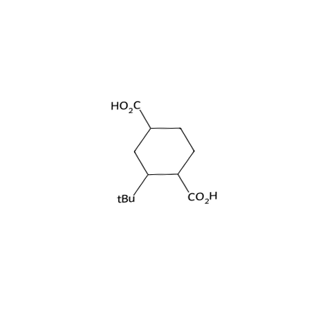 CC(C)(C)C1CC(C(=O)O)CCC1C(=O)O